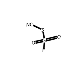 N#CSS(=O)(=O)F